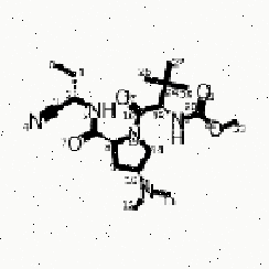 CC[C@@H](C#N)NC(=O)[C@@H]1C[C@@H](N(C)C)CN1C(=O)[C@@H](NC(=O)OC)C(C)(C)C